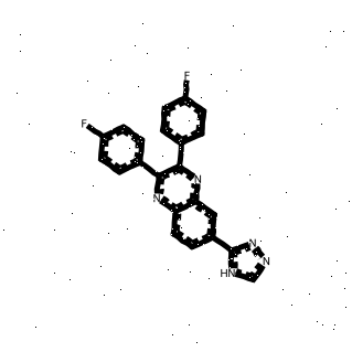 Fc1ccc(-c2nc3ccc(-c4nnc[nH]4)cc3nc2-c2ccc(F)cc2)cc1